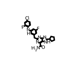 NC(=O)c1nc(Cc2cc(F)cc(Nc3ccc(Cl)cc3F)c2)nc2nc(C3CCCC3)[nH]c12